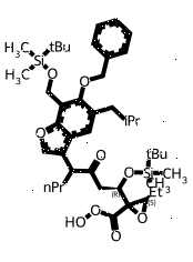 CCCC(C(=O)C[C@@H](O[Si](C)(C)C(C)(C)C)C1(C(=O)OO)O[C@H]1CC)c1coc2c(CO[Si](C)(C)C(C)(C)C)c(OCc3ccccc3)c(CC(C)C)cc12